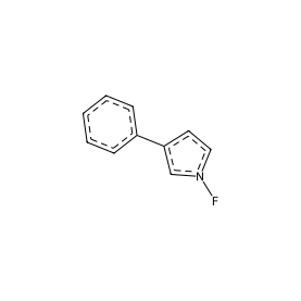 Fn1ccc(-c2ccccc2)c1